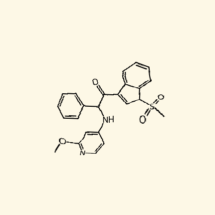 COc1cc(NC(C(=O)C2=CC(S(C)(=O)=O)c3ccccc32)c2ccccc2)ccn1